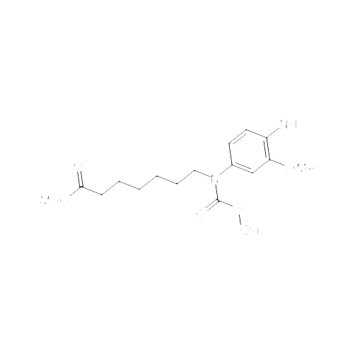 COC(=O)CCCCCCN(C(=O)OC(C)(C)C)c1ccc(N)c(OC)c1